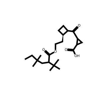 CCC(C)(C)CC(C(=O)OCC[C@H]1CCC1C(=O)C1CC1C(=O)O)C(C)(C)C